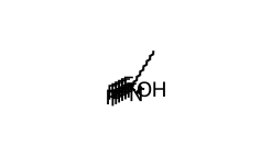 CC(O)C#N.CCCCCCCCCCCCCCC(F)(F)C(F)(F)C(F)(F)C(F)(F)C(F)(F)C(F)(F)F